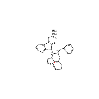 C1=CC[C]([Zr]([CH]2c3ccccc3-c3ccccc32)[SiH](Cc2ccccc2)Cc2ccccc2)=C1.Cl.Cl